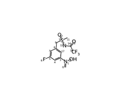 C=[N+](O)c1cc(F)cc(CS(C)(=O)=NC(=O)C(F)(F)F)c1